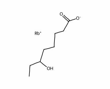 CCC(O)CCCCC(=O)[O-].[Rb+]